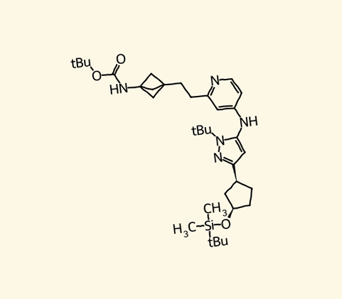 CC(C)(C)OC(=O)NC12CC(CCc3cc(Nc4cc([C@H]5CC[C@@H](O[Si](C)(C)C(C)(C)C)C5)nn4C(C)(C)C)ccn3)(C1)C2